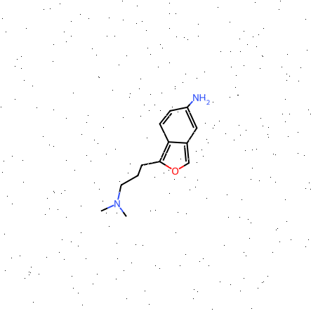 CN(C)CCCc1occ2cc(N)ccc12